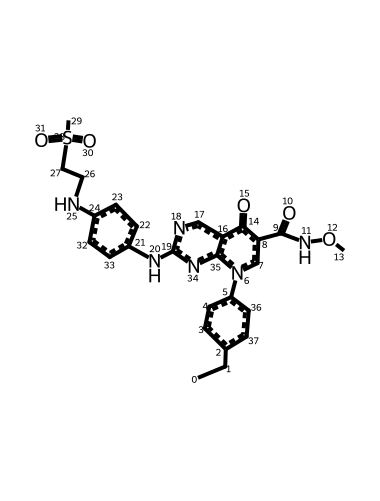 CCc1ccc(-n2cc(C(=O)NOC)c(=O)c3cnc(Nc4ccc(NCCS(C)(=O)=O)cc4)nc32)cc1